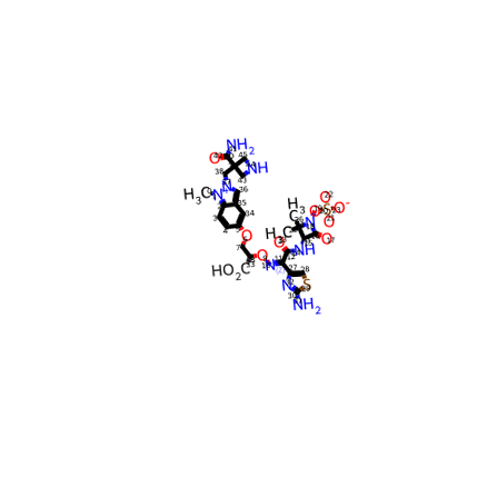 C[n+]1c2ccc(OCC(O/N=C(\C(=O)N[C@@H]3C(=O)N(OS(=O)(=O)[O-])C3(C)C)c3csc(N)n3)C(=O)O)cc2cn1CC1(C(N)=O)CNC1